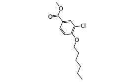 CCCCCCOc1ccc(C(=O)OC)cc1Cl